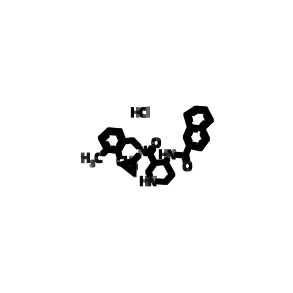 Cc1cccc(CN(C(=O)C2CNCCC2NC(=O)c2ccc3ccccc3c2)C2CC2)c1C.Cl